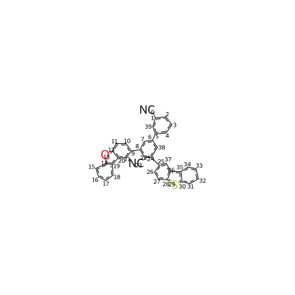 N#Cc1cccc(-c2cc(-c3ccc4oc5ccccc5c4c3)c(C#N)c(-c3ccc4sc5ccccc5c4c3)c2)c1